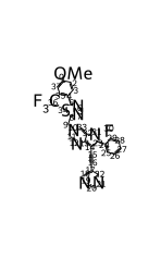 COc1ccc(-c2nnc(Cn3cnc4c(C#Cc5cncnc5)c(-c5ccccc5F)nc-4c3)s2)c(C(F)(F)F)c1